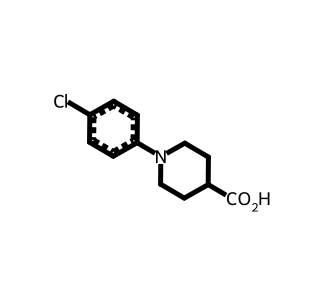 O=C(O)C1CCN(c2ccc(Cl)cc2)CC1